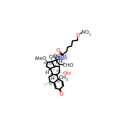 CO[C@@H]1C[C@H]2[C@@H]3C[C@H](F)C4=CC(=O)C=C[C@]4(C)[C@@]3(F)[C@@H](O)C[C@]2(C)[C@]1(OC)C(CC=O)(NC(=O)CCCCCO[N+](=O)[O-])C(=O)O